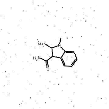 CSC1C(C(N)=O)c2ccccc2N1C